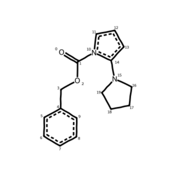 O=C(OCc1ccccc1)n1cccc1N1CCCC1